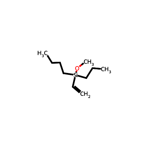 C=C[Si](CCC)(CCCC)OC